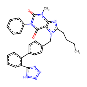 CCCCc1nc2c(c(=O)n(-c3ccccc3)c(=O)n2C)n1Cc1ccc(-c2ccccc2-c2nnn[nH]2)cc1